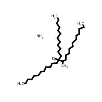 CCCCCCCCCCCCC(C)C(Cl)(CCCCCCCCCCCC)CCCCCCCCCCCC.N